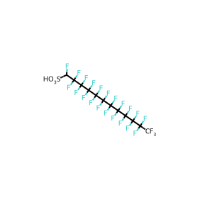 O=S(=O)(O)C(F)C(F)(F)C(F)(F)C(F)(F)C(F)(F)C(F)(F)C(F)(F)C(F)(F)C(F)(F)C(F)(F)C(F)(F)C(F)(F)F